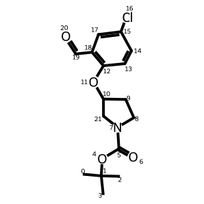 CC(C)(C)OC(=O)N1CCC(Oc2ccc(Cl)cc2C=O)C1